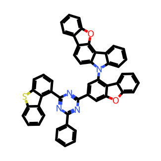 c1ccc(-c2nc(-c3cc(-n4c5ccccc5c5c6oc7ccccc7c6ccc54)c4c(c3)oc3ccccc34)nc(-c3cccc4sc5ccccc5c34)n2)cc1